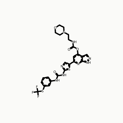 O=C(Nc1cccc(SC(F)(F)F)c1)Nc1ncc(-c2cc(OC(=O)NCCN3CCOCC3)c3cn[nH]c3n2)s1